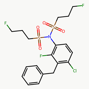 O=S(=O)(CCCF)N(c1ccc(Cl)c(Cc2ccccc2)c1F)S(=O)(=O)CCCF